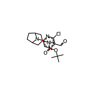 CC(C)(C)OC(=O)NC1CC2CCC(C1)N2c1cnc(C=O)c(Cl)n1